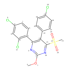 COc1nc(-c2ccc(Cl)cc2Cl)c(-c2ccc(Cl)cc2)c(S(C)(=O)=O)n1